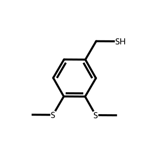 CSc1ccc(CS)cc1SC